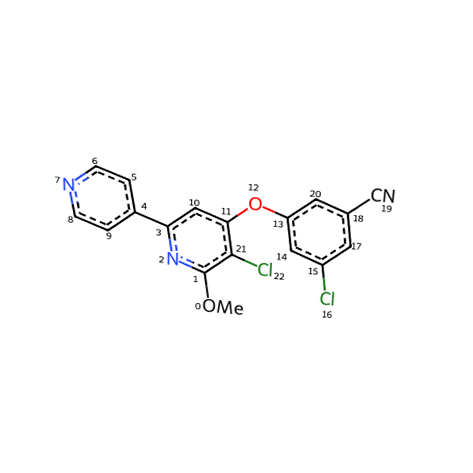 COc1nc(-c2ccncc2)cc(Oc2cc(Cl)cc(C#N)c2)c1Cl